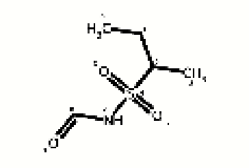 CCC(C)S(=O)(=O)N[C]=O